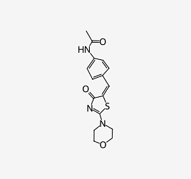 CC(=O)Nc1ccc(C=C2SC(N3CCOCC3)=NC2=O)cc1